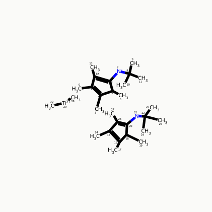 CC1=C(C)C(C)C([N-]C(C)(C)C)=C1C.CC1=C(C)C(C)C([N-]C(C)(C)C)=C1C.[CH3][Ti+2][CH3]